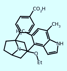 CCOC1CC2CCC(c3ccc(C(=O)O)cc3)(C1)N2Cc1c(C)cc(C)c2[nH]ccc12